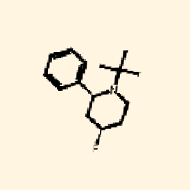 CC(C)(C)N1CC[C@@H](F)C[C@H]1c1ccccc1